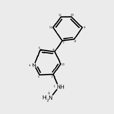 NNc1cncc(-c2ccccc2)c1